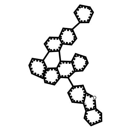 c1ccc(-c2ccc3c(-c4c5ccccc5c(-c5ccc6c(c5)oc5ccccc56)c5ccccc45)c(-c4ccccc4)ccc3c2)cc1